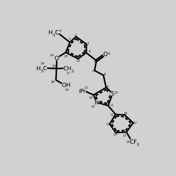 Cc1ccc(C(=O)CCc2sc(-c3ccc(C(F)(F)F)cc3)nc2C(C)C)cc1OC(C)(C)CO